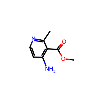 COC(=O)c1c(N)ccnc1C